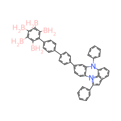 Bc1c(B)c(B)c(-c2ccc(-c3ccc(-c4ccc5c(c4)N(c4ccccc4)c4cccc6cc(-c7ccccc7)n-5c46)cc3)cc2)c(B)c1B